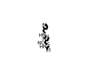 CCC1=CSC(=C(C#N)c2ccnc(NCCc3cccnc3)n2)N1